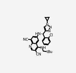 CC(C)(C)CNc1c(C#N)cnc2c(C#N)cc(N[C@H](c3cn(C4CC4)nn3)c3ccccc3Cl)cc12